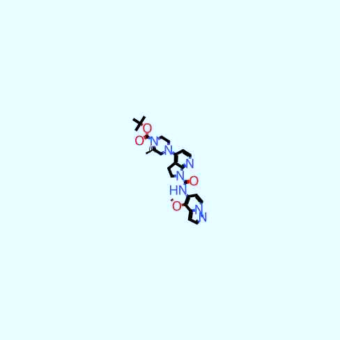 COc1c(NC(=O)N2CCc3c(N4CCN(C(=O)OC(C)(C)C)[C@H](C)C4)ccnc32)ccn2nccc12